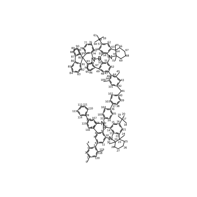 Cc1cc(C)c(-c2cc3c4c(c2)N2c5c(cc(C(C)(C)C)cc5C5(C)CCCCC25C)B4N(c2ccc(-c4ccc(Cc5cc(C)c(-c6cc7c8c(c6)N6c9c(cc(C(C)(C)C)cc9C9(C)CCCCC69C)B8N6c8ccccc8C8(c9ccccc9-c9ccccc98)c8cccc-7c86)c(C)c5)cc4)cc2)c2cc(-c4ccccc4)ccc2-3)c(C)c1